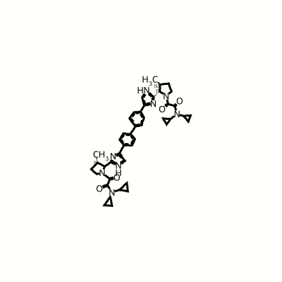 C[C@H]1CCN(C(=O)C(=O)N(C2CC2)C2CC2)C1c1nc(-c2ccc(-c3ccc(-c4c[nH]c([C@@H]5[C@@H](C)CCN5C(=O)C(=O)N(C5CC5)C5CC5)n4)cc3)cc2)c[nH]1